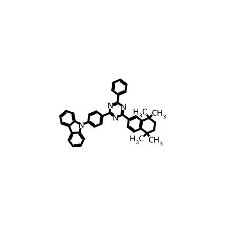 CC1(C)CCC(C)(C)c2cc(-c3nc(-c4ccccc4)nc(-c4ccc(-n5c6ccccc6c6ccccc65)cc4)n3)ccc21